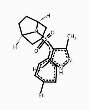 CCc1ccc(OC2C[C@H]3CC[C@@H](C2)N3S(=O)(=O)c2c(C)n[nH]c2C)cc1